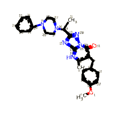 COc1ccc(Cc2c(C)[nH]c3nc(C(C)N4CCN(c5ccccc5)CC4)nn3c2=O)cc1